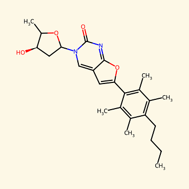 CCCCc1c(C)c(C)c(-c2cc3cn(C4C[C@@H](O)C(C)O4)c(=O)nc3o2)c(C)c1C